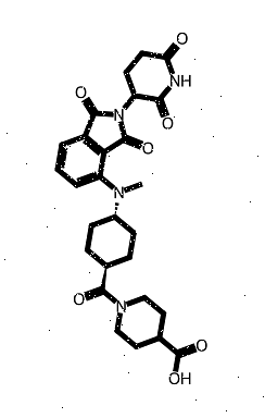 CN(c1cccc2c1C(=O)N(C1CCC(=O)NC1=O)C2=O)[C@H]1CC[C@H](C(=O)N2CCC(C(=O)O)CC2)CC1